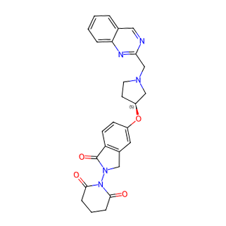 O=C1c2ccc(O[C@H]3CCN(Cc4ncc5ccccc5n4)C3)cc2CN1N1C(=O)CCCC1=O